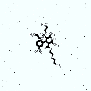 C=CCOP(=O)(OCC=C)C1=C(C)NC(C)=C(C(=O)OCCOCCC)C1c1cccc([N+](=O)[O-])c1